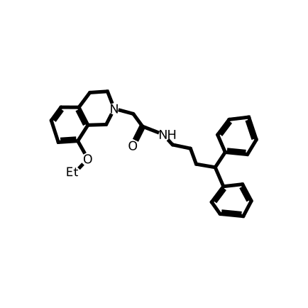 CCOc1cccc2c1CN(CC(=O)NCCCC(c1ccccc1)c1ccccc1)CC2